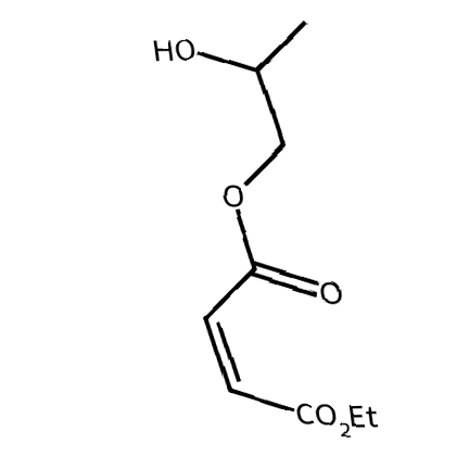 CCOC(=O)/C=C\C(=O)OCC(C)O